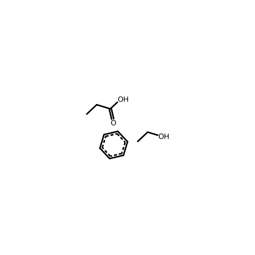 CCC(=O)O.CCO.c1ccccc1